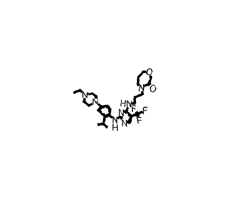 CCN1CCN(c2ccc(Nc3ncc(C(F)(F)F)c(NCCCN4CCCOCC4=O)n3)c(C(C)C)c2)CC1